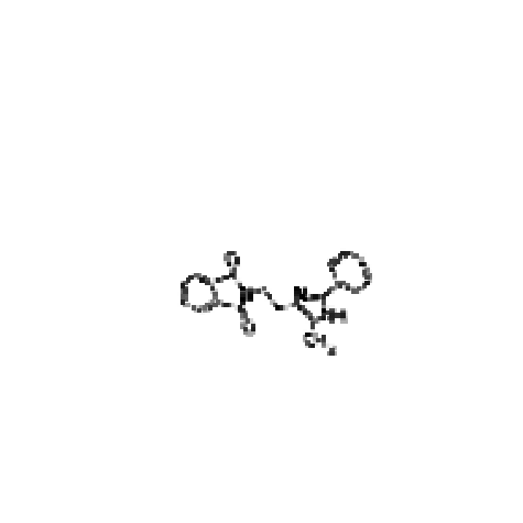 Cc1[nH]c(-c2ccccc2)nc1CCN1C(=O)c2ccccc2C1=O